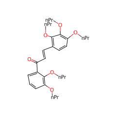 CCCOc1cccc(C(=O)/C=C/c2ccc(OCCC)c(OCCC)c2OCCC)c1OCCC